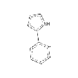 [c]1ccccc1-c1ccc[nH]1